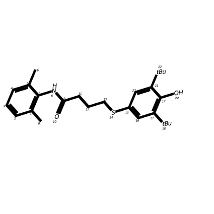 Cc1cccc(C)c1NC(=O)CCCSc1cc(C(C)(C)C)c(O)c(C(C)(C)C)c1